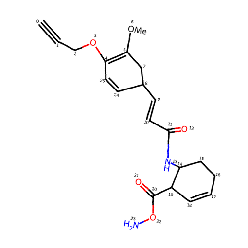 C#CCOC1=C(OC)CC(/C=C/C(=O)NC2CCC=CC2C(=O)ON)C=C1